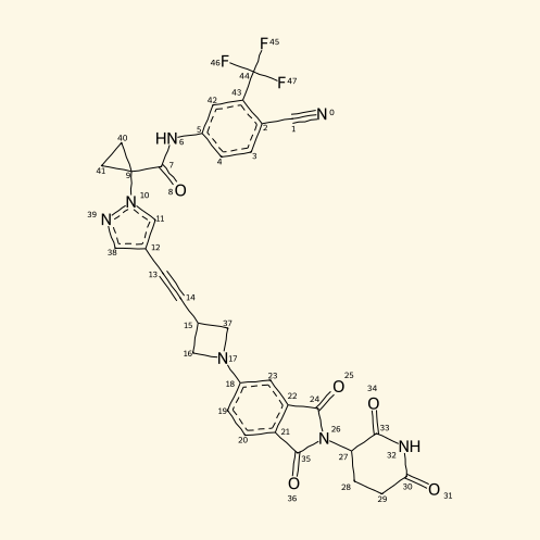 N#Cc1ccc(NC(=O)C2(n3cc(C#CC4CN(c5ccc6c(c5)C(=O)N(C5CCC(=O)NC5=O)C6=O)C4)cn3)CC2)cc1C(F)(F)F